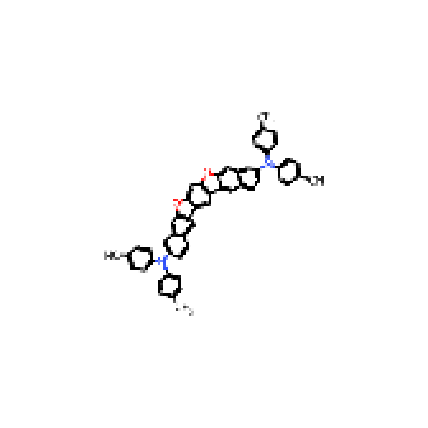 N#Cc1ccc(N(c2ccc(C(F)(F)F)cc2)c2ccc3cc4c(cc3c2)oc2cc3oc5cc6cc(N(c7ccc(C#N)cc7)c7ccc(C(F)(F)F)cc7)ccc6cc5c3cc24)cc1